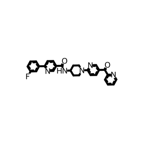 O=C(NC1CCN(c2ccc(C(=O)c3ccccn3)cn2)CC1)c1ccc(-c2cccc(F)c2)nc1